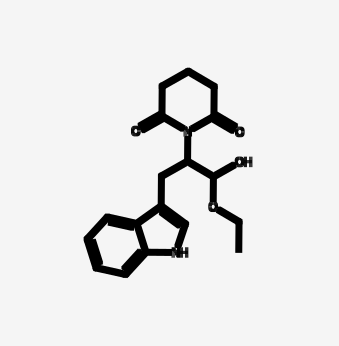 CCOC(O)C(Cc1c[nH]c2ccccc12)N1C(=O)CCCC1=O